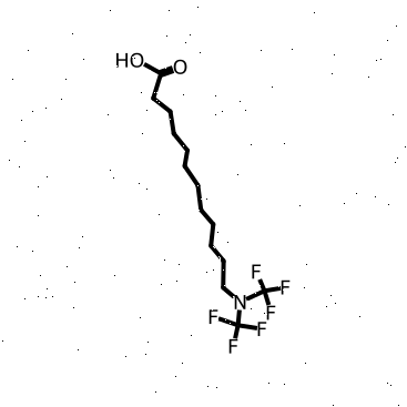 O=C(O)CCCCCCCCCCCN(C(F)(F)F)C(F)(F)F